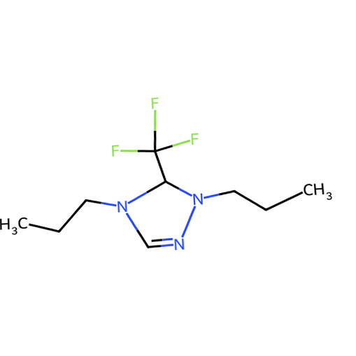 CCCN1C=NN(CCC)C1C(F)(F)F